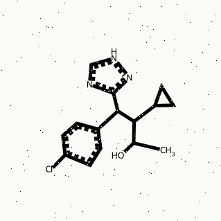 CC(O)C(C1CC1)C(c1ccc(Cl)cc1)c1nc[nH]n1